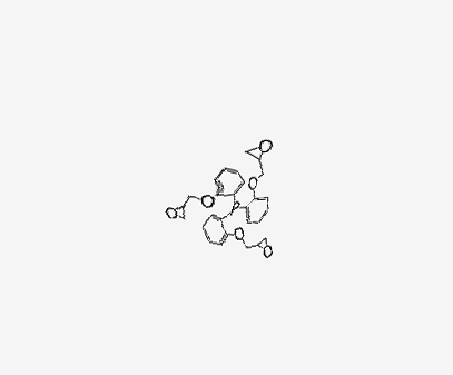 c1ccc(P(c2ccccc2OCC2CO2)c2ccccc2OCC2CO2)c(OCC2CO2)c1